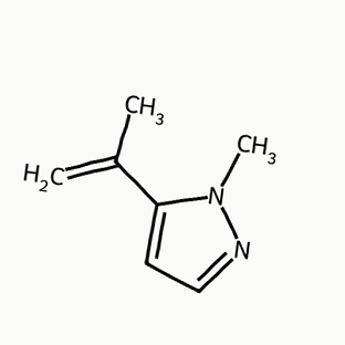 C=C(C)c1ccnn1C